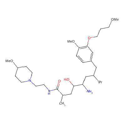 COCCCOc1cc(CC(CC(N)C(O)CC(C)C(=O)NCCN2CCC(OC)CC2)C(C)C)ccc1OC